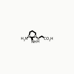 N=C1N(N)CCCN1NCC(=O)O